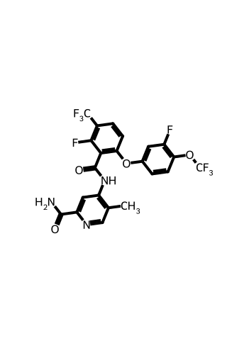 Cc1cnc(C(N)=O)cc1NC(=O)c1c(Oc2ccc(OC(F)(F)F)c(F)c2)ccc(C(F)(F)F)c1F